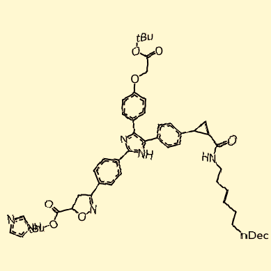 CCCCCCCCCCCCCCCCNC(=O)C1CC1c1ccc(-c2[nH]c(-c3ccc(C4=NOC(C(=O)OC(C)(C)C)C4)cc3)nc2-c2ccc(OCC(=O)OC(C)(C)C)cc2)cc1.c1c[nH]cn1